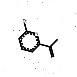 C=C(C)c1cccc(CC)n1